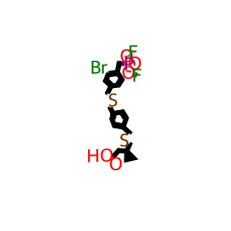 O=C(O)CC1(CSCc2ccc(CSCc3ccc(CP(=O)(OF)OF)c(Br)c3)cc2)CC1